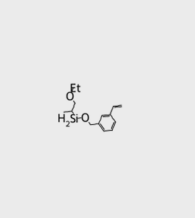 C=Cc1cccc(CO[SiH2]C(C)COCC)c1